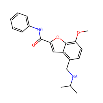 COc1ccc(CNC(C)C)c2cc(C(=O)Nc3ccccc3)oc12